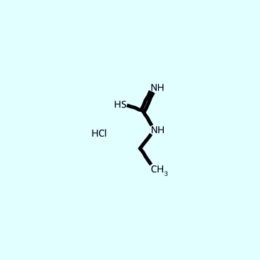 CCNC(=N)S.Cl